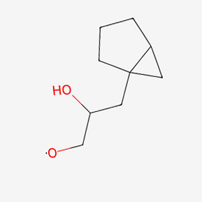 [O]CC(O)CC12CCCC1C2